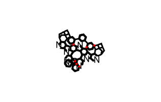 c1ccc(-c2cccc(-c3ccccc3)c2-n2c3cc4c5c6c(ncc5n5c7cnc8c9ccccc9oc8c7c(c3c3c7c8c9oc%10ccccc%10c9ncc8n8c9cnc%10c(c9c(cc32)c78)C2CC3CC7CC%10CC732)c45)C2CC3CC4CC6C34C2)cc1